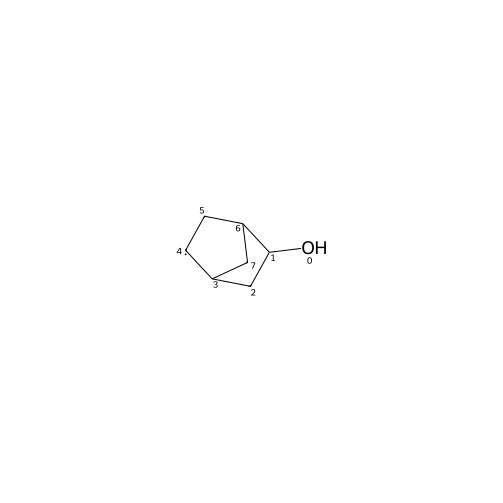 OC1CC2[CH]CC1C2